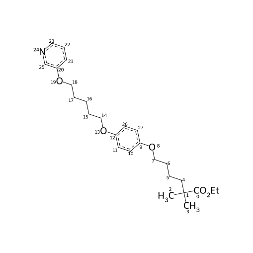 CCOC(=O)C(C)(C)CCCCOc1ccc(OCCCCCOc2cccnc2)cc1